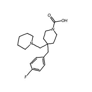 O=C(O)N1CCC(Cc2ccc(F)cc2)(CN2CCCCC2)CC1